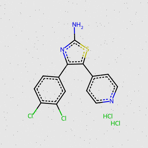 Cl.Cl.Nc1nc(-c2ccc(Cl)c(Cl)c2)c(-c2ccncc2)s1